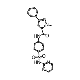 Cn1nc(-c2ccccc2)cc1C(=O)Nc1ccc(S(=O)(=O)Nc2ncccn2)cc1